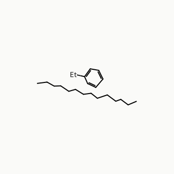 CCCCCCCCCCCCCC.CCc1ccccc1